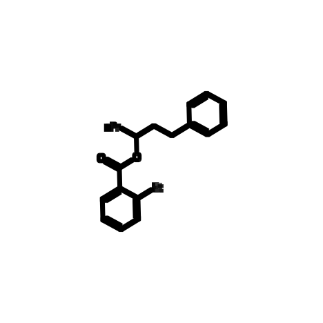 CCCC(CCc1ccccc1)OC(=O)c1ccccc1CC